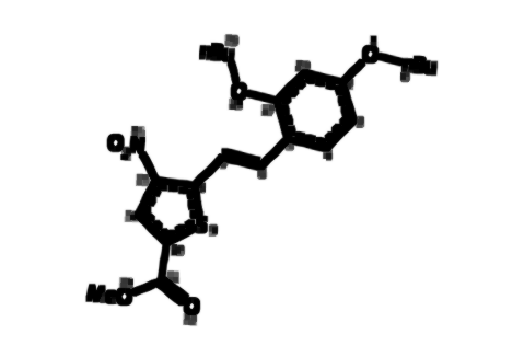 CCCCOc1ccc(/C=C/c2sc(C(=O)OC)cc2[N+](=O)[O-])c(OCCCC)c1